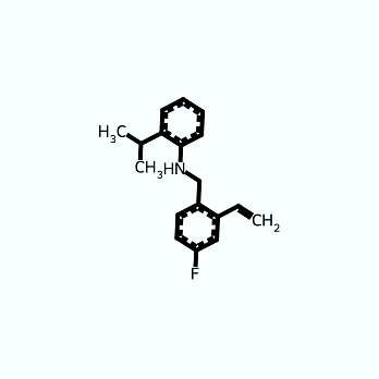 C=Cc1cc(F)ccc1CNc1ccccc1C(C)C